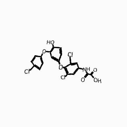 O=C(O)C(=O)Nc1cc(Cl)c(Oc2ccc(O)c(Oc3ccc(Cl)cc3)c2)c(Cl)c1